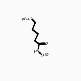 CCCCCCCCCC(=O)NC=O